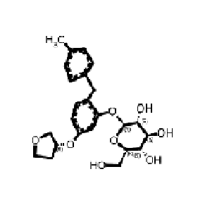 Cc1ccc(Cc2ccc(O[C@@H]3CCOC3)cc2O[C@@H]2O[C@H](CO)[C@@H](O)[C@H](O)[C@H]2O)cc1